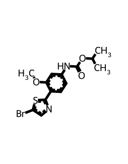 COc1cc(NC(=O)OC(C)C)ccc1-c1ncc(Br)s1